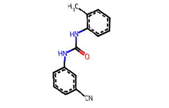 Cc1ccccc1NC(=O)Nc1cccc(C#N)c1